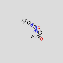 COC1(c2cccc(NC(=O)N3CC4CN(c5ccc(C(F)(F)F)cc5)CC4C3)c2)COC1